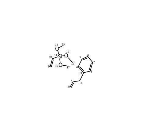 C=CCc1ccccc1.C=C[Si](OC)(OC)OC